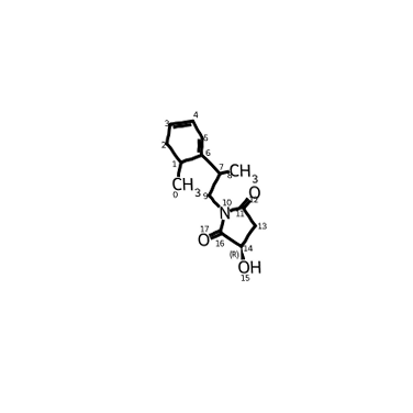 CC1CC=CC=C1C(C)CN1C(=O)C[C@@H](O)C1=O